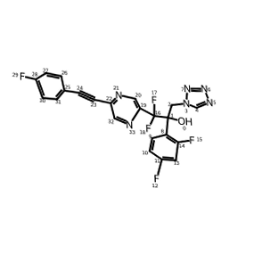 OC(Cn1cnnn1)(c1ccc(F)cc1F)C(F)(F)c1cnc(C#Cc2ccc(F)cc2)cn1